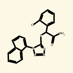 NC(=O)C(Sc1nnnn1-c1cccc2ccccc12)c1ccccc1Cl